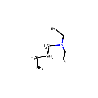 CC(C)CN(CC(C)C)[SiH2][SiH2][SiH2][SiH3]